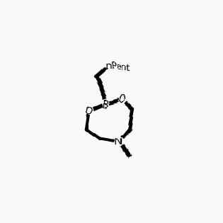 CCCCCCB1OCCN(C)CCO1